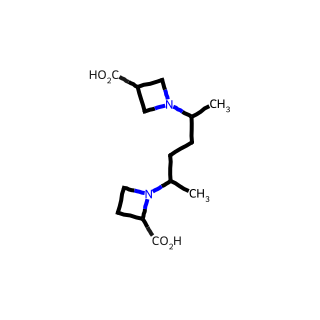 CC(CCC(C)N1CCC1C(=O)O)N1CC(C(=O)O)C1